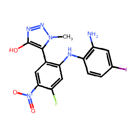 Cn1nnc(O)c1-c1cc([N+](=O)[O-])c(F)cc1Nc1ccc(I)cc1N